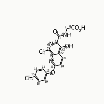 O=C(O)CNC(=O)c1nc(Cl)c2nc(Oc3ccc(Cl)cc3)ccc2c1O